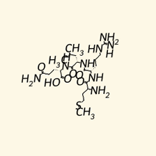 CSCC[C@H](N)C(=O)N[C@@H](CCCNC(=N)N)C(=O)N[C@@H](CC(C)C)C(=O)N[C@@H](CCC(N)=O)C(=O)O